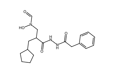 O=CN(O)CC(CC1CCCC1)C(=O)NNC(=O)Cc1ccccc1